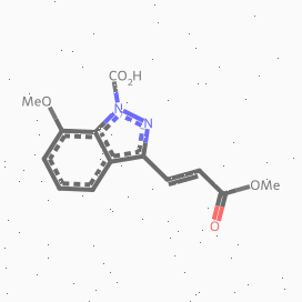 COC(=O)/C=C/c1nn(C(=O)O)c2c(OC)cccc12